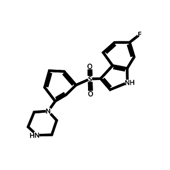 O=S(=O)(c1cccc(N2CCNCC2)c1)c1c[nH]c2cc(F)ccc12